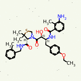 CCOc1ccc(C[C@H](NC(=O)c2cccc(N)c2C)[C@H](O)C(=O)N2CSC(C)(C)[C@H]2C(=O)NCc2ccccc2C)cc1